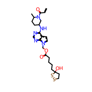 C=CC(=O)N1CC(Nc2ncnc3c2ccn3COC(=O)CCCCC2(O)CCSS2)CCC1C